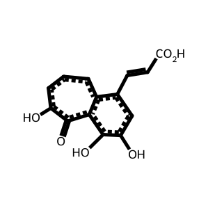 O=C(O)/C=C/c1cc(O)c(O)c2c(=O)c(O)cccc12